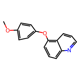 COc1ccc(Oc2cccc3ncccc23)cc1